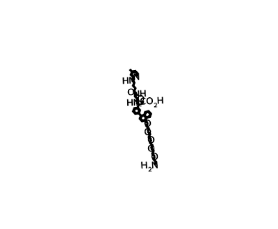 Cc1ccnc(NCCCC(=O)NCC(=O)N[C@@H](CC(=O)O)c2cccc(-c3ccc(OCCOCCOCCOCCOCCN)c4ccccc34)c2)c1